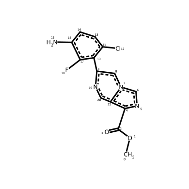 COC(=O)c1ncn2cc(-c3c(Cl)ccc(N)c3F)ncc12